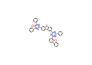 c1ccc(-c2nc(-c3ccc4sc5cc(-c6nc(-c7ccccc7)c7oc8ccccc8c7n6)ccc5c4c3)nc(-c3cccc4c3oc3ccccc34)n2)cc1